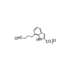 CCOC(=O)c1cc2cccc(CCCC=O)c2[nH]1